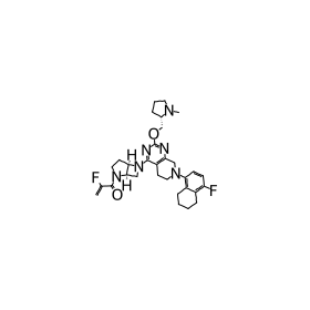 C=C(F)C(=O)N1CC[C@@H]2[C@H]1CN2c1nc(OC[C@@H]2CCCN2C)nc2c1CCN(c1ccc(F)c3c1CCCC3)C2